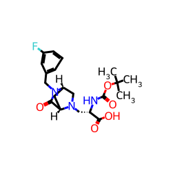 CC(C)(C)OC(=O)N[C@@H](CN1C[C@@H]2C[C@H]1C(=O)N2Cc1cccc(F)c1)C(=O)O